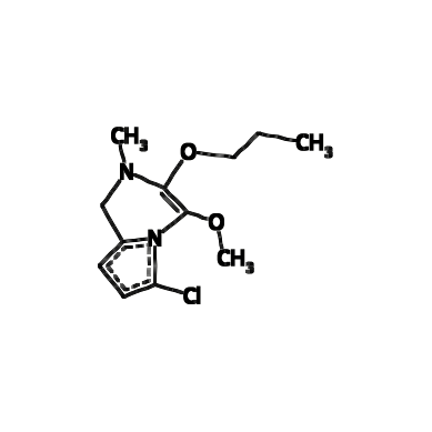 CCCOC1=C(OC)n2c(Cl)ccc2CN1C